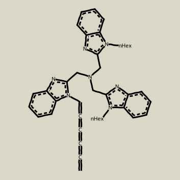 C=C=C=C=C=Cn1c(CN(Cc2nc3ccccc3n2CCCCCC)Cc2nc3ccccc3n2CCCCCC)nc2ccccc21